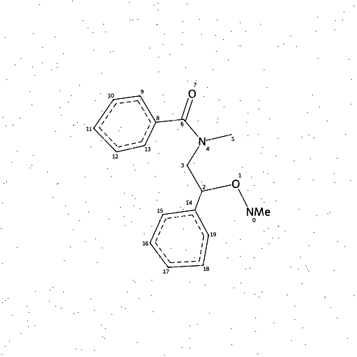 CNOC(CN(C)C(=O)c1ccccc1)c1ccccc1